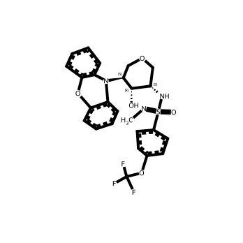 CN=S(=O)(N[C@H]1COC[C@H](N2c3ccccc3Oc3ccccc32)[C@H]1O)c1ccc(OC(F)(F)F)cc1